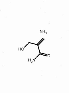 C=C(CO)C(N)=O.N